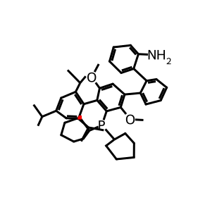 COc1cc(-c2ccccc2-c2ccccc2N)c(OC)c(P(C2CCCCC2)C2CCCCC2)c1-c1c(C(C)C)cc(C(C)C)cc1C(C)C